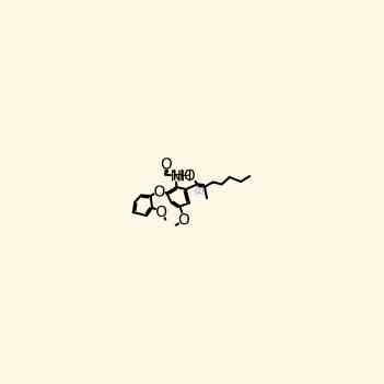 CCCCC/C(C)=C(\O)c1cc(OC)cc(Oc2ccccc2OC)c1NC=O